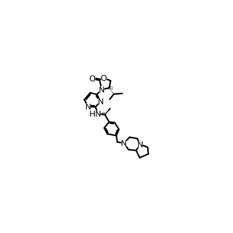 CC(C)[C@H]1COC(=O)N1c1ccnc(N[C@@H](C)c2ccc(CN3CCN4CCCC4C3)cc2)n1